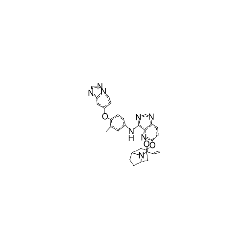 C=CC(=O)N1C2CCC1CC(Oc1ccc3ncnc(Nc4ccc(Oc5ccn6ncnc6c5)c(C)c4)c3n1)C2